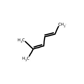 [CH2]/C=C/C=C(C)C